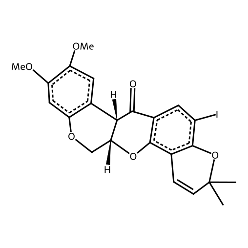 COc1cc2c(cc1OC)[C@@H]1C(=O)c3cc(I)c4c(c3O[C@@H]1CO2)C=CC(C)(C)O4